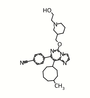 CC1CCCCC(c2c(-c3ccc(C#N)cc3)nc(OCC3CCCN(CCO)C3)n3ccnc23)CC1